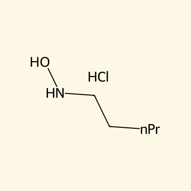 CCCCCNO.Cl